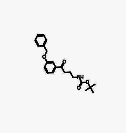 CC(C)(C)OC(=O)NCCCC(=O)c1cccc(OCc2ccccc2)c1